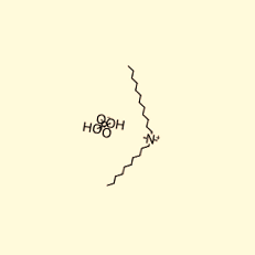 CCCCCCCCCCCC[N+](C)(C)CCCCCCCCCC.O=P([O-])(O)O